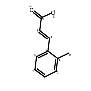 Cc1ccccc1C=CC(=O)Cl